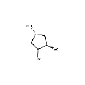 CC(=O)[C@@H]1C[C@@H](O)CN1C(C)C